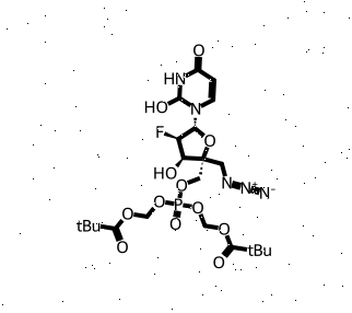 CC(C)(C)C(=O)OCOP(=O)(OCOC(=O)C(C)(C)C)OC[C@@]1(CN=[N+]=[N-])O[C@@H](N2C=CC(=O)NC2O)[C@H](F)[C@@H]1O